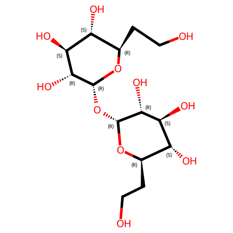 OCC[C@H]1O[C@H](O[C@H]2O[C@H](CCO)[C@@H](O)[C@H](O)[C@H]2O)[C@H](O)[C@@H](O)[C@@H]1O